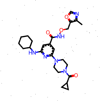 Cc1ncoc1CONC(=O)c1cc(NC2CCCCC2)nc(N2CCN(C(=O)C3CC3)CC2)c1